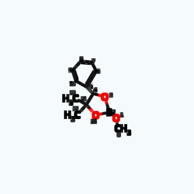 COB1OC(c2ccccc2)C(C)(C)O1